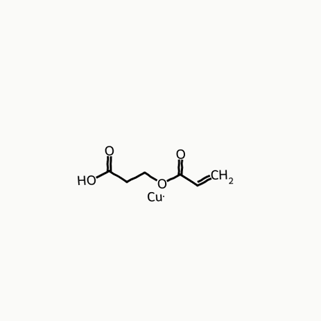 C=CC(=O)OCCC(=O)O.[Cu]